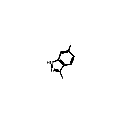 Ic1ccc2c(I)n[nH]c2c1